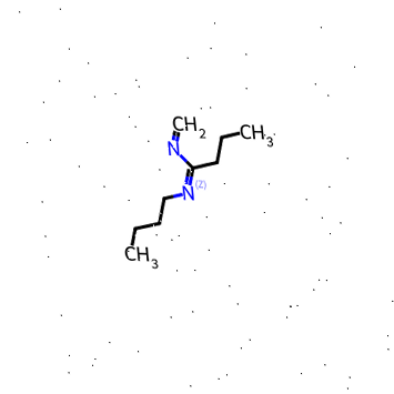 C=N/C(CCC)=N\CCCC